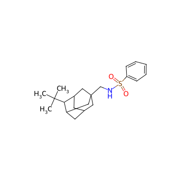 CC(C)(C)C1C2CC3CC1CC(CNS(=O)(=O)c1ccccc1)(C3)C2